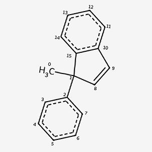 CC1(c2ccccc2)C=Cc2ccccc21